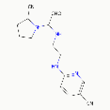 N#Cc1ccc(NCCNC([C]=O)N2CCCC2C#N)nc1